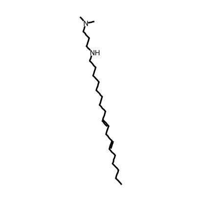 CCCCCC=CCC=CCCCCCCCCNCCCN(C)C